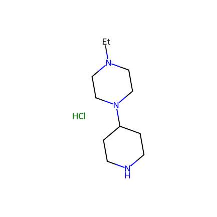 CCN1CCN(C2CCNCC2)CC1.Cl